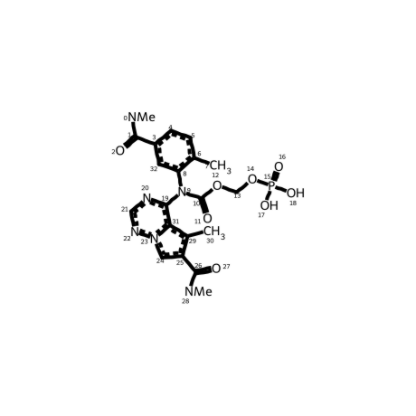 CNC(=O)c1ccc(C)c(N(C(=O)OCOP(=O)(O)O)c2ncnn3cc(C(=O)NC)c(C)c23)c1